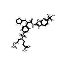 COCCN(CCC(=O)O)S(=O)(=O)c1ccc([C@@H](CC2CCCC2)C(=O)Nc2nc3ccc(C(F)(F)F)nc3s2)cc1